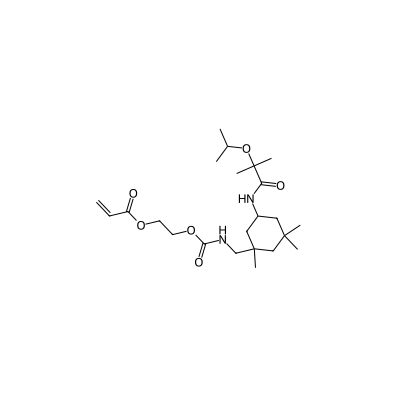 C=CC(=O)OCCOC(=O)NCC1(C)CC(NC(=O)C(C)(C)OC(C)C)CC(C)(C)C1